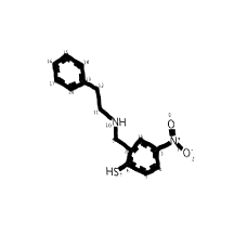 O=[N+]([O-])c1ccc(S)c(CNCCc2ccccc2)c1